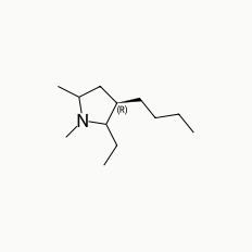 CCCC[C@@H]1CC(C)N(C)C1CC